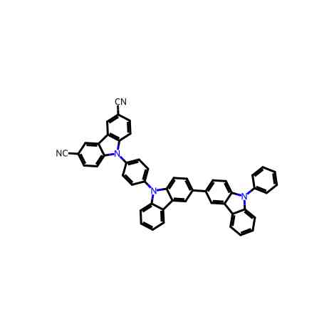 N#Cc1ccc2c(c1)c1cc(C#N)ccc1n2-c1ccc(-n2c3ccccc3c3cc(-c4ccc5c(c4)c4ccccc4n5-c4ccccc4)ccc32)cc1